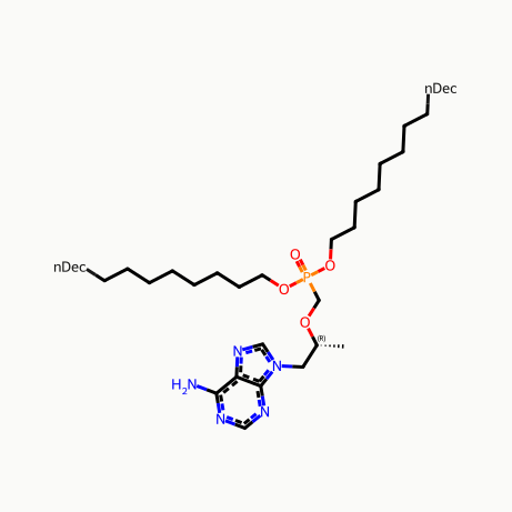 CCCCCCCCCCCCCCCCCCOP(=O)(CO[C@H](C)Cn1cnc2c(N)ncnc21)OCCCCCCCCCCCCCCCCCC